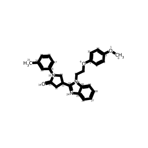 COc1ccc(OCCn2c(C3CC(=O)N(c4cccc(C)c4)C3)nc3ccccc32)cc1